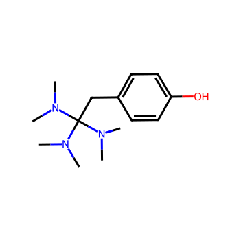 CN(C)C(Cc1ccc(O)cc1)(N(C)C)N(C)C